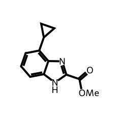 COC(=O)c1nc2c(C3CC3)cccc2[nH]1